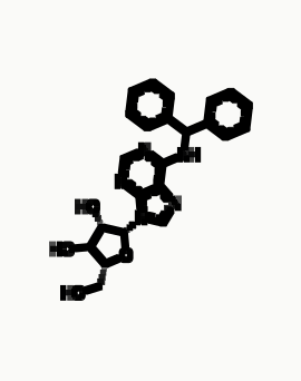 OC[C@H]1O[C@@H](n2cnc3c(NC(c4ccccc4)c4ccccc4)ncnc32)[C@@H](O)C1O